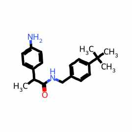 CC(C(=O)NCc1ccc(C(C)(C)C)cc1)c1ccc(N)cc1